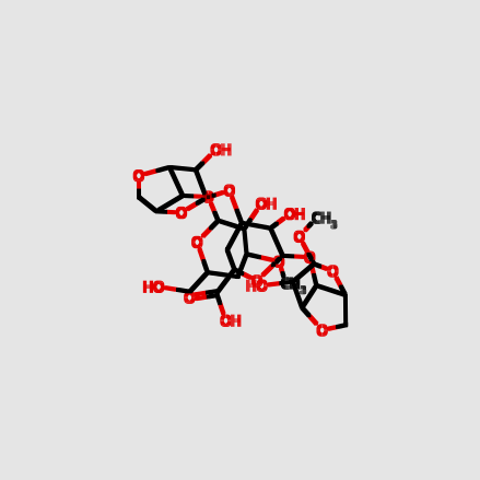 COC1CC(CO)OC(OC2C3COC2C(O)C(OC2CC(C(=O)O)OC(OC4C5COC4C(O)C(OC)O5)C2O)O3)C1O